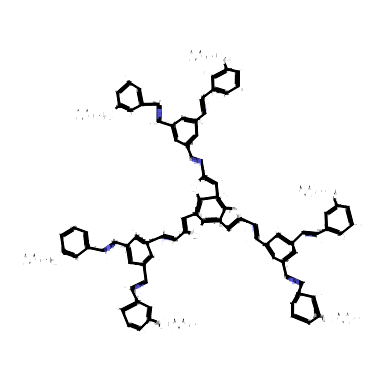 COc1cccc(/C=C/c2cc(/C=C/c3cccc(OC)c3)cc(/C=C/c3cc4c(s3)c3cc(/C=C/c5cc(/C=C/c6cccc(OC)c6)cc(/C=C/c6cccc(OC)c6)c5)sc3c3cc(/C=C/c5cc(/C=C/c6cccc(OC)c6)cc(/C=C/c6cccc(OC)c6)c5)sc43)c2)c1